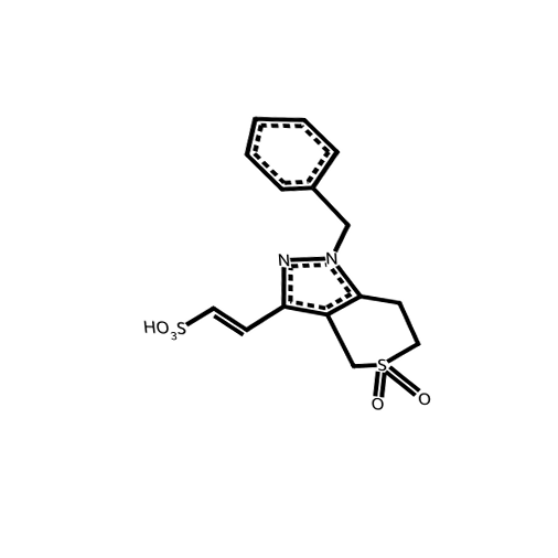 O=S(=O)(O)/C=C/c1nn(Cc2ccccc2)c2c1CS(=O)(=O)CC2